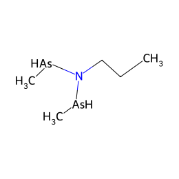 CCCN([AsH]C)[AsH]C